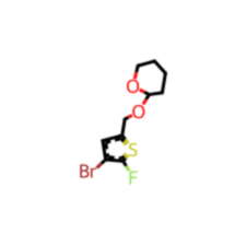 Fc1sc(COC2CCCCO2)cc1Br